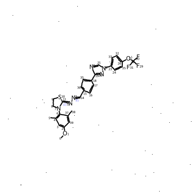 COc1cc(C)c(N2CCS/C2=N\N=C\c2ccc(-c3ncn(-c4ccc(OC(F)(F)F)cc4)n3)cc2)c(C)c1